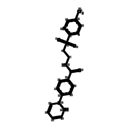 O=C(NCCS(=O)(=O)c1ccc(C(F)(F)F)cn1)c1ccc(B2C=CC=CN2)cc1